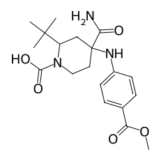 COC(=O)c1ccc(NC2(C(N)=O)CCN(C(=O)O)C(C(C)(C)C)C2)cc1